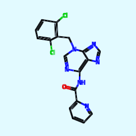 O=C(Nc1ncn(Cc2c(Cl)cccc2Cl)c2ncnc1-2)c1ccccn1